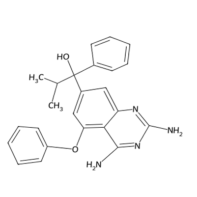 CC(C)C(O)(c1ccccc1)c1cc(Oc2ccccc2)c2c(N)nc(N)nc2c1